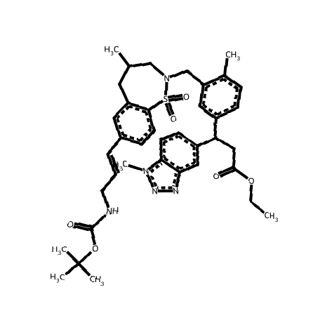 CCOC(=O)CC(c1ccc(C)c(CN2CC(C)Cc3cc(/C=C/CNC(=O)OC(C)(C)C)ccc3S2(=O)=O)c1)c1ccc2c(c1)nnn2C